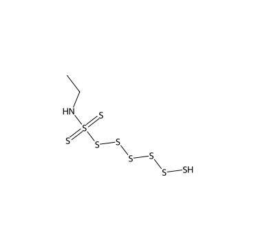 CCNS(=S)(=S)SSSSSS